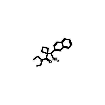 CCN(CC)C(=O)C1(C(N)c2ccc3ccccc3c2)CCC1